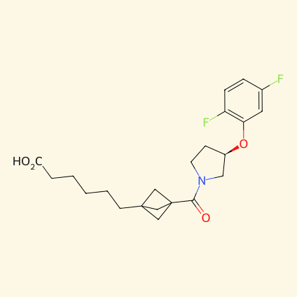 O=C(O)CCCCCC12CC(C(=O)N3CC[C@@H](Oc4cc(F)ccc4F)C3)(C1)C2